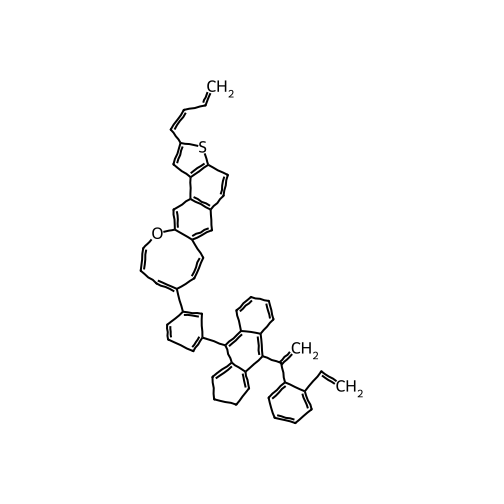 C=C/C=C\c1cc2c(ccc3cc4ccc(-c5cccc(-c6c7c(c(C(=C)c8ccccc8C=C)c8ccccc68)=CCCC=7)c5)cccoc4cc32)s1